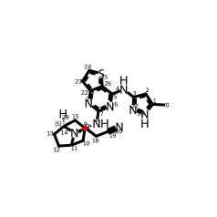 Cc1cc(Nc2nc(N[C@@H]3CC4CC[C@@H](C3)N4CCC#N)nc3ccsc23)n[nH]1